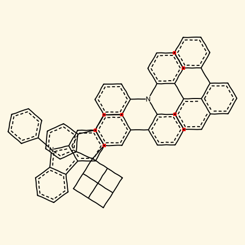 c1ccc(-c2cccc3cccc(-c4ccccc4N(c4cccc(-c5ccc6c7ccccc7n(-c7ccccc7)c6c5)c4)c4ccccc4-c4ccc5c(c4)C4(c6ccccc6-5)C5CC6CC7CC4C675)c23)cc1